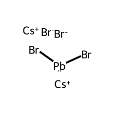 [Br-].[Br-].[Br][Pb][Br].[Cs+].[Cs+]